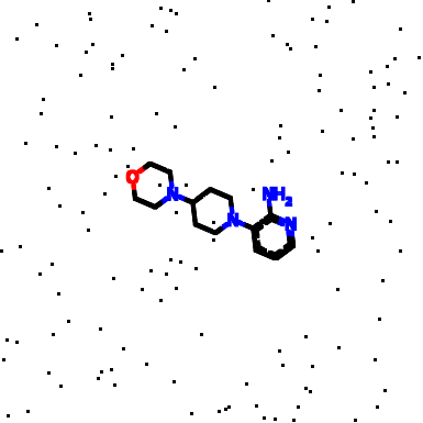 Nc1ncccc1N1CCC(N2CCOCC2)CC1